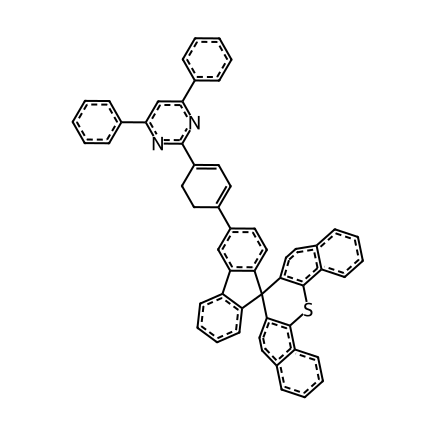 C1=C(c2ccc3c(c2)-c2ccccc2C32c3ccc4ccccc4c3Sc3c2ccc2ccccc32)CCC(c2nc(-c3ccccc3)cc(-c3ccccc3)n2)=C1